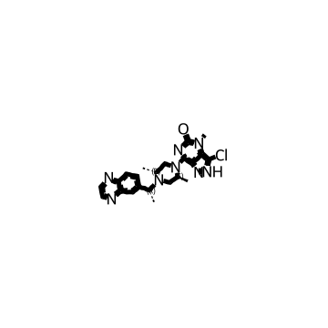 C[C@@H]1CN(c2nc(=O)n(C)c3c(Cl)[nH]nc23)[C@@H](C)CN1[C@H](C)c1ccc2nccnc2c1